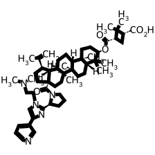 C=C(C)[C@@H]1CC[C@]2(C(=O)N3CCC[C@H]3c3nc(-c4cccnc4)cn3CCN(C)C)CC[C@]3(C)[C@H](CC[C@@H]4[C@@]5(C)CC[C@H](OC(=O)[C@H]6C[C@@H](C(=O)O)C6(C)C)C(C)(C)[C@@H]5CC[C@]43C)[C@@H]12